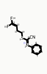 N#C/C(=N\c1ccccc1)SCCC=C(F)F